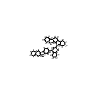 c1ccc2cc3c(cc2c1)oc1cc(-c2nc(-n4c5ccccc5c5ccc6c7ccccc7oc6c54)nc4ccccc24)ccc13